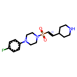 O=S(=O)(/C=C/C1CCNCC1)N1CCN(c2ccc(F)cc2)CC1